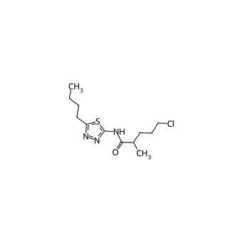 CCCCc1nnc(NC(=O)C(C)CCCCl)s1